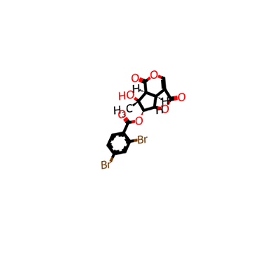 C[C@]1(O)[C@@H](OC(=O)c2ccc(Br)cc2Br)[C@H]2OC(=O)C3=COC(=O)[C@H]1[C@@H]32